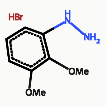 Br.COc1cccc(NN)c1OC